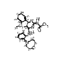 COC(=O)Nc1nc(Nc2ccccc2N2CCOCC2)c(F)c(-c2ccccc2OC)n1